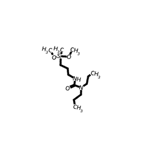 CCCN(CCC)C(=O)NCCC[Si](C)(OC)OC